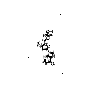 CO[C@@H]1C[C@H](n2cnc3c2N=CCC3=O)O[C@@H]1COP(C)(=O)O